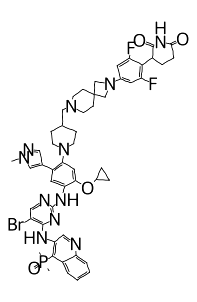 Cn1cc(-c2cc(Nc3ncc(Br)c(Nc4cnc5ccccc5c4P(C)(C)=O)n3)c(OC3CC3)cc2N2CCC(CN3CCC4(CC3)CN(c3cc(F)c(C5CCC(=O)NC5=O)c(F)c3)C4)CC2)cn1